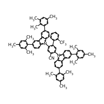 Cc1cc(C)c(-c2ccc3c(c2)c2cc(-c4c(C)cc(C)cc4C)ccc2n3-c2cc(-c3ccccc3C(F)(F)F)c(-n3c4ccc(-c5cc(C)cc(C)c5C)cc4c4cc(-c5c(C)cc(C)cc5C)ccc43)cc2C#N)c(C)c1